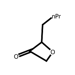 CCCCC1OCC1=O